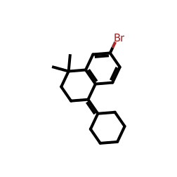 CC1(C)CCC(=C2CCCCC2)c2ccc(Br)cc21